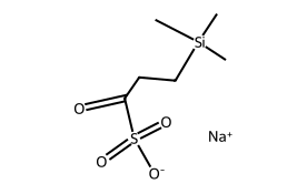 C[Si](C)(C)CCC(=O)S(=O)(=O)[O-].[Na+]